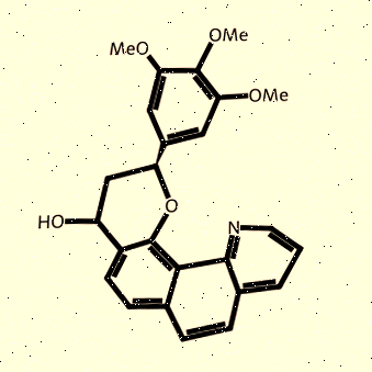 COc1cc([C@@H]2CC(O)c3ccc4ccc5cccnc5c4c3O2)cc(OC)c1OC